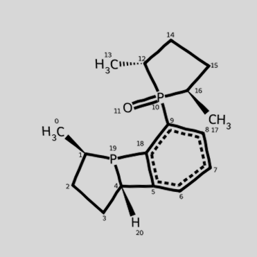 C[C@@H]1CC[C@H]2c3cccc(P4(=O)[C@H](C)CC[C@H]4C)c3P12